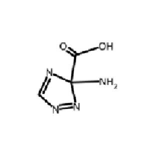 NC1(C(=O)O)N=CN=N1